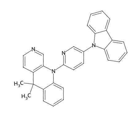 CC1(C)c2ccccc2N(c2ccc(-n3c4ccccc4c4ccccc43)cn2)c2cnccc21